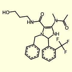 CC(=O)N(C)C1=C(C(=O)NCCCO)N(Cc2ccccc2)C(c2ccccc2C(F)(F)F)N1